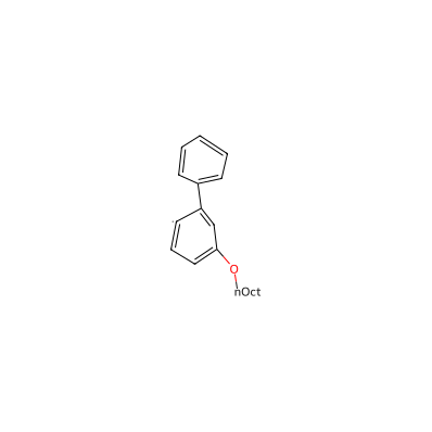 CCCCCCCCOc1cc[c]c(-c2ccccc2)c1